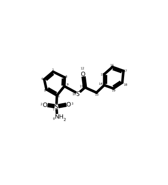 NS(=O)(=O)c1ccccc1SC(=O)Cc1ccccc1